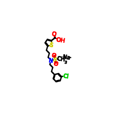 CS(=O)(=O)N(CCCc1cccc(Cl)c1)CCCc1ccc(C(=O)O)s1.[Na]